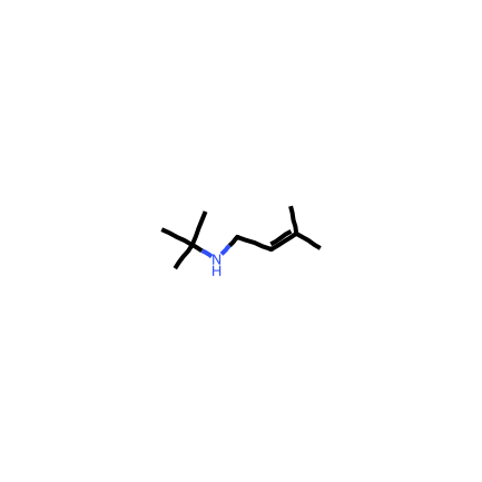 CC(C)=CCNC(C)(C)C